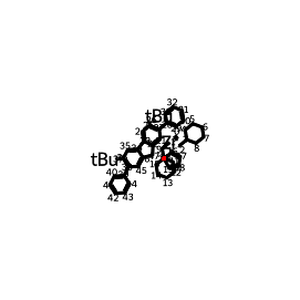 [CH2]=[Zr]([CH2]C1CCCCC1)([CH2]C1CCCCC1)([C]1=CC=CC1)[c]1c2c(cc(C(C)(C)C)c1-c1ccccc1)-c1cc(C(C)(C)C)c(-c3ccccc3)cc1C2